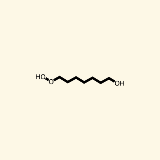 OCCCCCCCOO